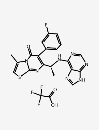 Cc1csc2nc([C@H](C)Nc3ncnc4[nH]cnc34)c(-c3cccc(F)c3)c(=O)n12.O=C(O)C(F)(F)F